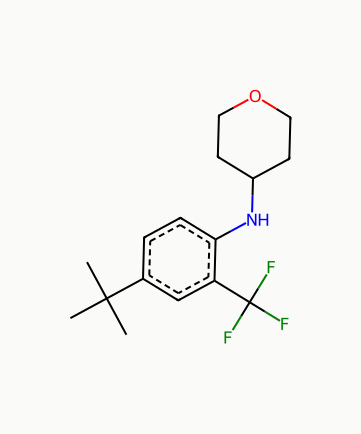 CC(C)(C)c1ccc(NC2CCOCC2)c(C(F)(F)F)c1